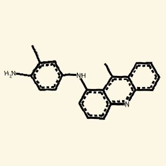 Cc1cc(Nc2cccc3nc4ccccc4c(C)c23)ccc1N